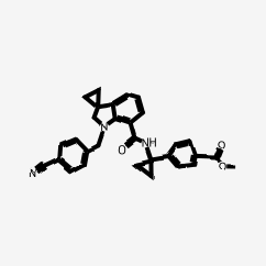 COC(=O)c1ccc(C2(NC(=O)c3cccc4c3N(Cc3ccc(C#N)cc3)CC43CC3)CC2)cc1